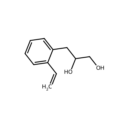 C=Cc1ccccc1CC(O)CO